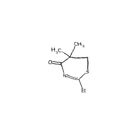 CCC1=NC(=O)C(C)(C)CS1